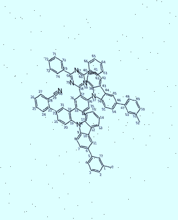 Cc1cccc(-c2ccc3c(c2)c2ccccc2n3-c2ccc(-c3ccccc3C#N)cc2-c2ccc(-n3c4ccccc4c4cc(-c5cccc(C)c5)ccc43)c(-c3nc(-c4ccccc4)nc(-c4ccccc4)n3)c2)c1